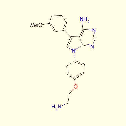 COc1cccc(-c2cn(-c3ccc(OCCN)cc3)c3ncnc(N)c23)c1